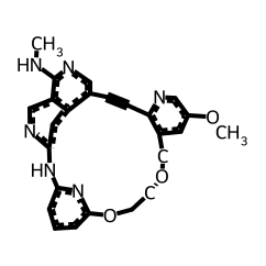 CNc1ncc2c3cc(ncc13)Nc1cccc(n1)OCCOCc1cc(OC)cnc1C#C2